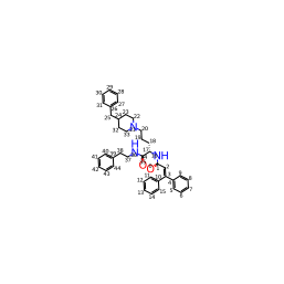 O=C(C=C(c1ccccc1)c1ccccc1)N[C@@H](CCCN1CCC(Cc2ccccc2)CC1)C(=O)NCCc1ccccc1